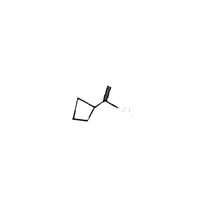 NC(=O)C1CCC1